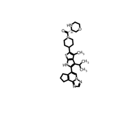 Cc1c(C2CCN(C(=O)[C@H]3COCCN3)CC2)sc2[nH]c(-c3cn4ncnc4c4c3CCC4)c(C(C)C)c12